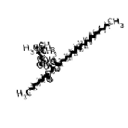 CCCCCCCCCCCCCCCCCCCCCCC(=O)OC(COC(=O)CCCCCCCC)COP(=O)(O)OCC[N+](C)(C)C